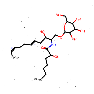 CCCCCCCCC/C=C\CC/C=C/CC(O)C(COC1OC(CO)C(O)C(O)C1O)NC(=O)C(O)CCCCCCCCCCCCCC